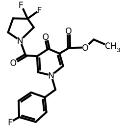 CCOC(=O)c1cn(Cc2ccc(F)cc2)cc(C(=O)N2CCC(F)(F)C2)c1=O